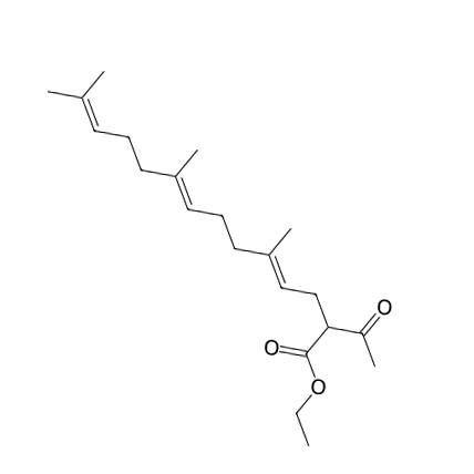 CCOC(=O)C(C/C=C(\C)CC/C=C(\C)CCC=C(C)C)C(C)=O